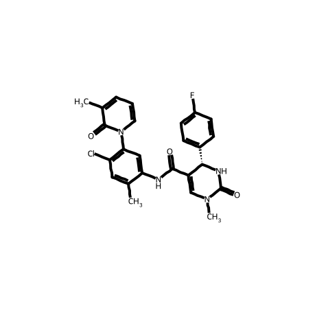 Cc1cc(Cl)c(-n2cccc(C)c2=O)cc1NC(=O)C1=CN(C)C(=O)N[C@H]1c1ccc(F)cc1